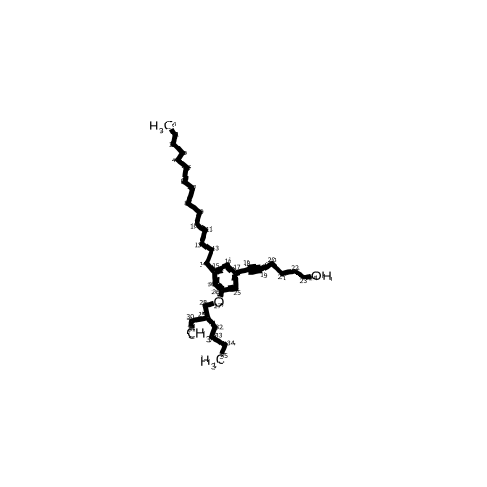 CCCCCCCCCCCCCCCc1cc(C#CCCCCO)cc(OCC(CC)CCCC)c1